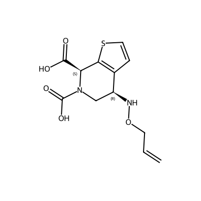 C=CCON[C@H]1CN(C(=O)O)[C@@H](C(=O)O)c2sccc21